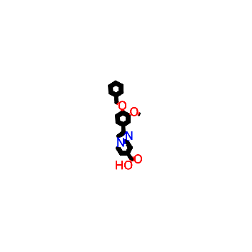 COc1cc(-c2cn3ccc(C(=O)O)cc3n2)ccc1OCc1ccccc1